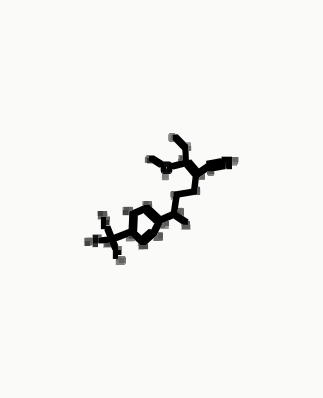 CCC(OC)=C(C#N)CCC(C)c1ccc(C(F)(F)F)cc1